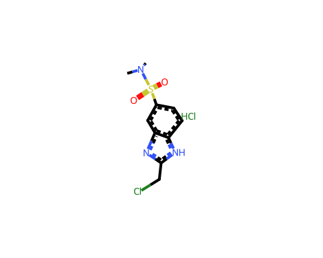 CN(C)S(=O)(=O)c1ccc2[nH]c(CCl)nc2c1.Cl